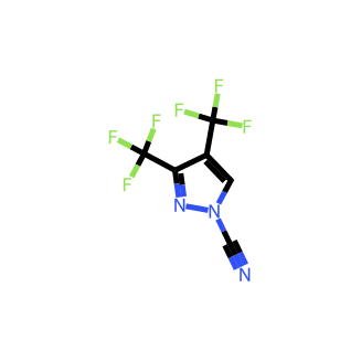 N#Cn1cc(C(F)(F)F)c(C(F)(F)F)n1